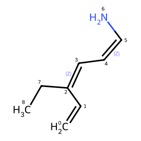 C=C/C(=C\C=C/N)CC